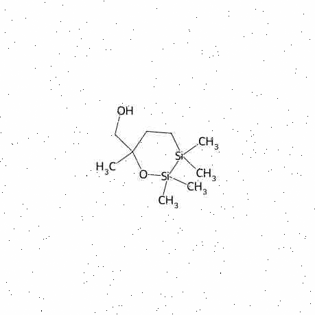 CC1(CO)CC[Si](C)(C)[Si](C)(C)O1